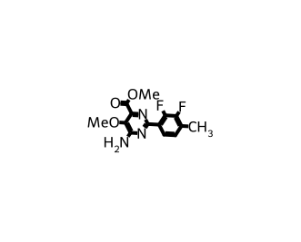 COC(=O)c1nc(-c2ccc(C)c(F)c2F)nc(N)c1OC